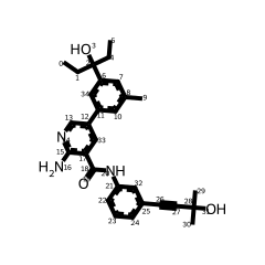 CCC(O)(CC)c1cc(C)cc(-c2cnc(N)c(C(=O)Nc3cccc(C#CC(C)(C)O)c3)c2)c1